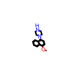 COc1ccc(N2CCNCC2)c2ccccc12